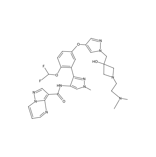 CN(C)CCN1CC(O)(Cn2cc(Oc3ccc(OC(F)F)c(-c4nn(C)cc4NC(=O)c4cnn5cccnc45)c3)cn2)C1